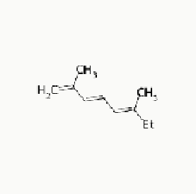 C=C(C)C=CC=C(C)CC